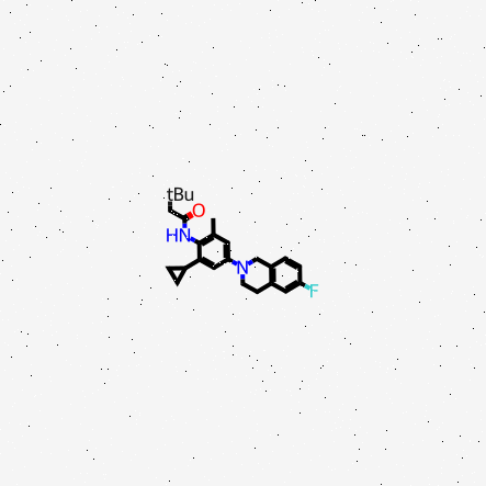 Cc1cc(N2CCc3cc(F)ccc3C2)cc(C2CC2)c1NC(=O)CC(C)(C)C